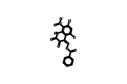 O=C1Nc2c(c(Cl)cc(Cl)c2[N+](=O)[O-])C(=NOC(=O)c2ccccc2)C1=O